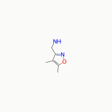 Cc1onc(C[NH])c1C